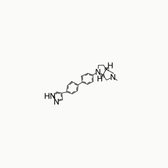 CN1C[C@H]2CCN(c3ccc(-c4ccc(-c5cn[nH]c5)cc4)cc3)[C@H]2C1